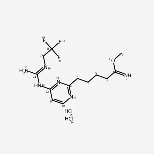 COC(=N)CCCCc1nccc(NC(N)=NCC(F)(F)F)n1.Cl.Cl